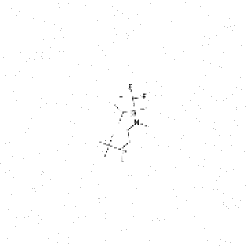 CC(C)[C@](C)(N(C)CC[C@H](C)C(C)(C)C)C(F)(F)F